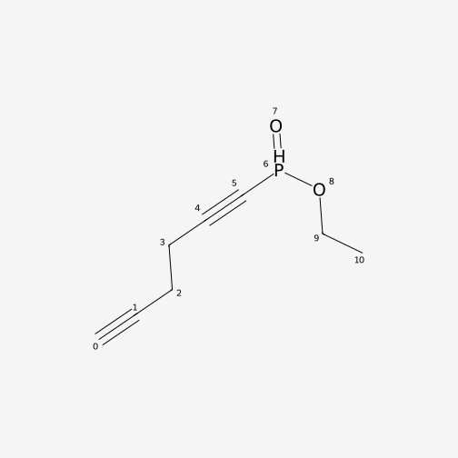 C#CCCC#C[PH](=O)OCC